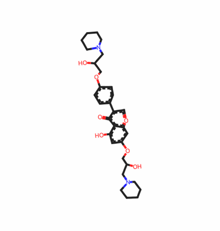 O=c1c(-c2ccc(OCC(O)CN3CCCCC3)cc2)coc2cc(OCC(O)CN3CCCCC3)cc(O)c12